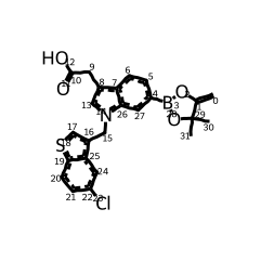 C=C1OB(c2ccc3c(CC(=O)O)cn(Cc4csc5ccc(Cl)cc45)c3c2)OC1(C)C